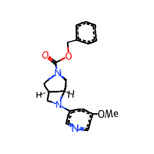 COc1cncc(N2C[C@H]3CN(C(=O)OCc4ccccc4)C[C@H]32)c1